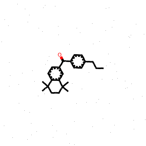 CCCc1ccc(C(=O)c2ccc3c(c2)C(C)(C)CCC3(C)C)cc1